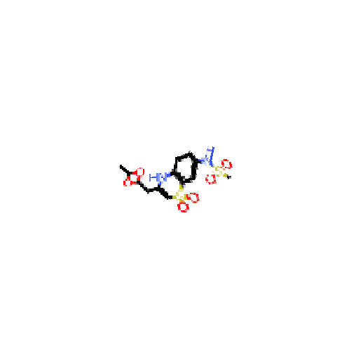 CC1OC(CC2=CS(=O)(=O)c3cc(NS(C)(=O)=O)ccc3N2)O1